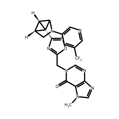 Cn1cnc2ncn(Cc3nc([C@@]45C6[C@H]4[C@H]5CN6c4cncc(C(F)(F)F)c4)no3)c(=O)c21